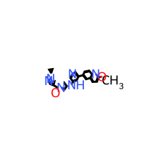 COc1ccc2cc(-c3cncc(NC4CN(C(=O)c5cnn(C6CC6)c5)C4)c3)ccc2n1